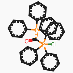 O=C([PH](c1ccccc1)(c1ccccc1)c1ccccc1)P(Cl)(c1ccccc1)(c1ccccc1)c1ccccc1